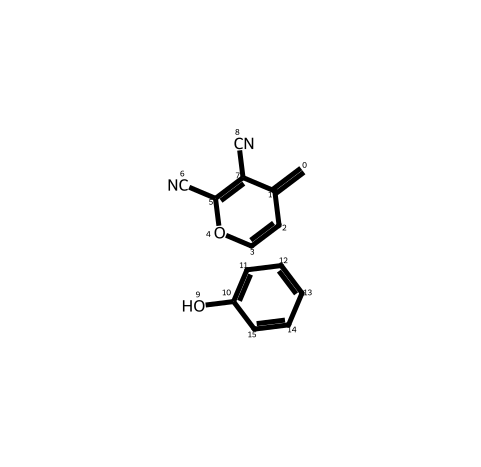 C=C1C=COC(C#N)=C1C#N.Oc1ccccc1